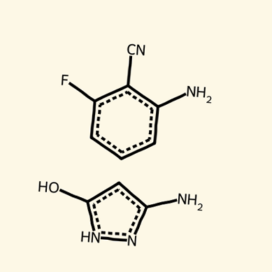 N#Cc1c(N)cccc1F.Nc1cc(O)[nH]n1